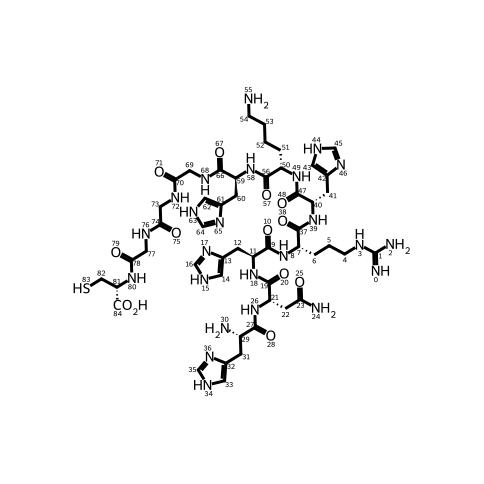 N=C(N)NCCC[C@H](NC(=O)[C@H](Cc1c[nH]cn1)NC(=O)[C@H](CC(N)=O)NC(=O)[C@@H](N)Cc1c[nH]cn1)C(=O)N[C@@H](Cc1c[nH]cn1)C(=O)N[C@@H](CCCCN)C(=O)N[C@@H](Cc1c[nH]cn1)C(=O)NCC(=O)NCC(=O)NCC(=O)N[C@@H](CS)C(=O)O